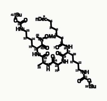 CCCCCCCCCCCCCCCC(=O)N[C@@H](CCCCNC(=O)OC(C)(C)C)C(=O)N[C@@H](C)C(=O)N[C@@H](C)C(=O)N[C@@H](CCCCNC(=O)OC(C)(C)C)C(=O)N(C)OC